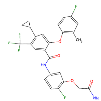 Cc1cc(F)ccc1Oc1cc(C2CC2)c(C(F)(F)F)cc1C(=O)Nc1ccc(F)c(OCC(N)=O)c1